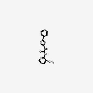 Cc1cccnc1NC(=O)Nc1csc(-c2ccncc2)n1